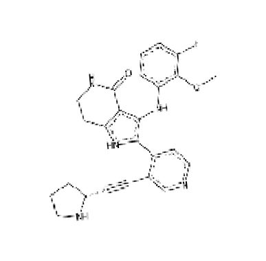 COc1c(F)cccc1Nc1c(-c2ccncc2C#C[C@H]2CCCN2)[nH]c2c1C(=O)NCC2